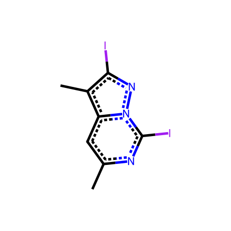 Cc1cc2c(C)c(I)nn2c(I)n1